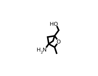 CC1OC2(CO)CC1(N)C2